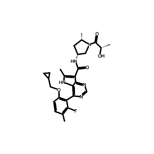 Cc1ccc(OCC2CC2)c(-c2ncnc3c(C(=O)N[C@@H]4C[C@H](C)N(C(=O)[C@H](C)O)C4)c(C)[nH]c23)c1F